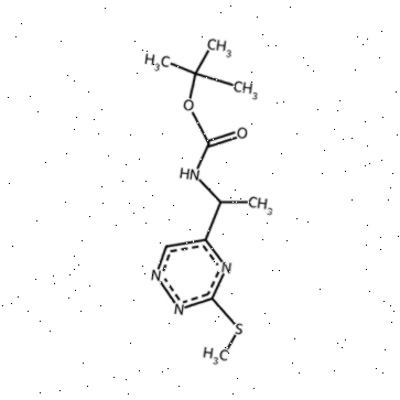 CSc1nncc(C(C)NC(=O)OC(C)(C)C)n1